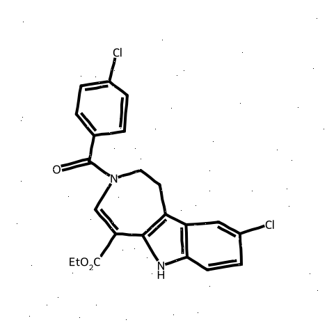 CCOC(=O)C1=CN(C(=O)c2ccc(Cl)cc2)CCc2c1[nH]c1ccc(Cl)cc21